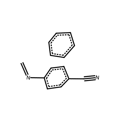 C=Nc1ccc(C#N)cc1.c1ccccc1